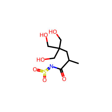 CC(CC(CO)(CO)CO)C(=O)N=S(=O)=O